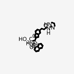 O=C(CCc1ccc2oc(CC(NS(=O)(=O)c3cccc4ccccc34)C(=O)O)cc2c1)NC1=NCCCN1